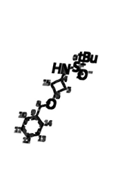 CC(C)(C)[S+]([O-])NC1CC(OCc2ccccc2)C1